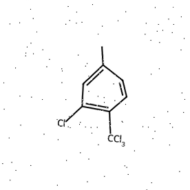 Cc1ccc(C(Cl)(Cl)Cl)c(Cl)c1